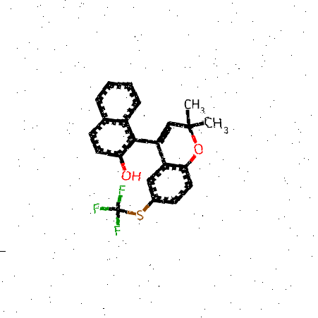 CC1(C)C=C(c2c(O)ccc3ccccc23)c2cc(SC(F)(F)F)ccc2O1